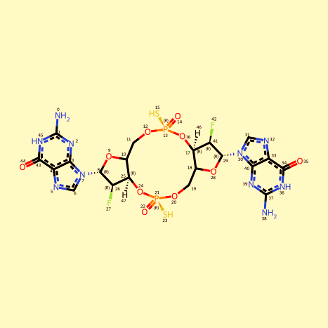 Nc1nc2c(ncn2[C@@H]2OC3CO[P@@](=O)(S)O[C@@H]4C(CO[P@@](=O)(S)O[C@H]3[C@H]2F)O[C@@H](n2cnc3c(=O)[nH]c(N)nc32)[C@@H]4F)c(=O)[nH]1